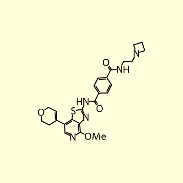 COc1ncc(C2=CCOCC2)c2sc(NC(=O)c3ccc(C(=O)NCCN4CCC4)cc3)nc12